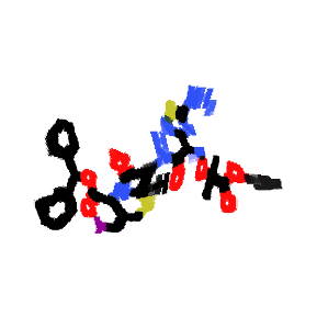 CC(C)(C)OC(=O)C(C)(C)O/N=C(\C(=O)N[C@@H]1C(=O)N2C(C(=O)OC(c3ccccc3)c3ccccc3)=C(CI)CS[C@H]12)c1nsc(N)n1